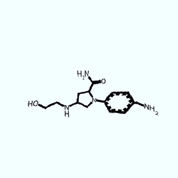 NC(=O)C1CC(NCCO)CN1c1ccc(N)cc1